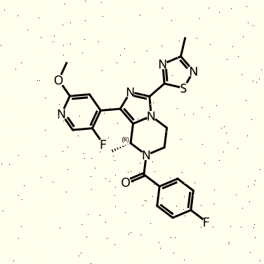 COc1cc(-c2nc(-c3nc(C)ns3)n3c2[C@@H](C)N(C(=O)c2ccc(F)cc2)CC3)c(F)cn1